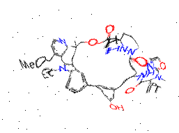 CCn1c(-c2cnccc2COC)c2c3cc(ccc31)-c1cc(O)cc(c1)C[C@H](NC(=O)[C@H](C(C)C)N(C)c1ncco1)C(=O)N1CCC[C@H](N1)C(=O)OCC(C)(C)C2